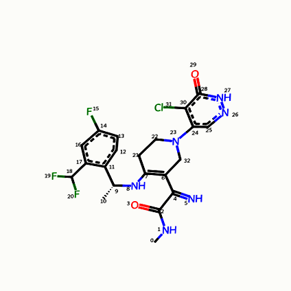 CNC(=O)C(=N)C1=C(N[C@H](C)c2ccc(F)cc2C(F)F)CCN(c2cn[nH]c(=O)c2Cl)C1